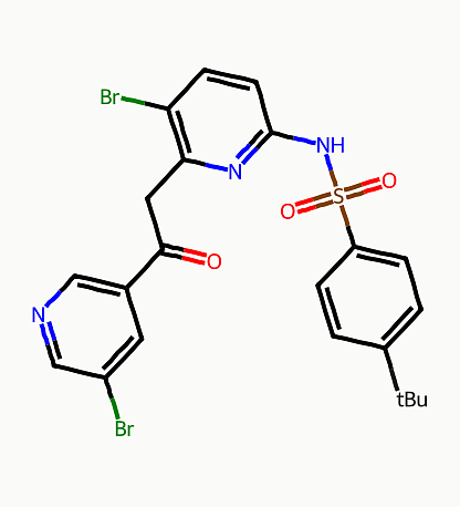 CC(C)(C)c1ccc(S(=O)(=O)Nc2ccc(Br)c(CC(=O)c3cncc(Br)c3)n2)cc1